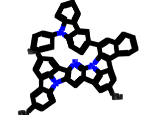 CC(C)(C)c1ccc2c(c1)c1cc(C(C)(C)C)cc3c4nc5c(cc4n2c13)c1cc(C(C)(C)C)cc2c3c4ccccc4cc(-c4ccc6c(c4)c4ccccc4n6-c4ccccc4)c3n5c12